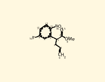 C=CCC(C(=O)OC)c1cc(F)ccc1[N+](=O)[O-]